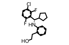 OCCc1ccccc1N[C@H](c1c(F)ccc(Cl)c1F)C1CCCC1